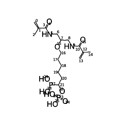 C=C(C)C(=O)NCC(CNC(=O)C(=C)C)OCCCCCC(OP(=O)(O)O)P(O)O